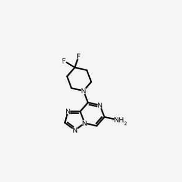 Nc1cn2ncnc2c(N2CCC(F)(F)CC2)n1